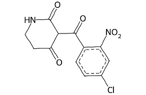 O=C1CCNC(=O)C1C(=O)c1ccc(Cl)cc1[N+](=O)[O-]